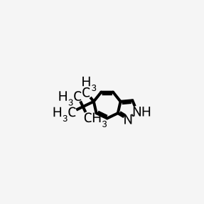 CC(C)(C)C1(C)C=Cc2c[nH]nc2C=C1